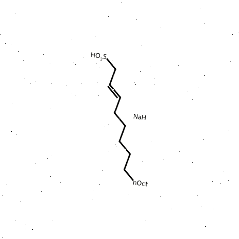 CCCCCCCCCCCCCC=CCS(=O)(=O)O.[NaH]